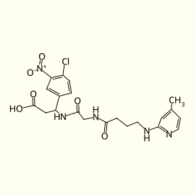 Cc1ccnc(NCCCC(=O)NCC(=O)NC(CC(=O)O)c2ccc(Cl)c([N+](=O)[O-])c2)c1